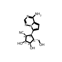 N#C[C@@H]1[C@H](O)[C@H](O)[C@@H](CO)[C@@H]1c1ccc2c(N)ncnn12